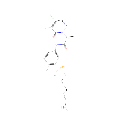 Cc1ccc(NC(=O)[C@H](C)n2ncc(Cl)c(Cl)c2=O)cc1S(=O)(=O)NCCCCNC(=O)O